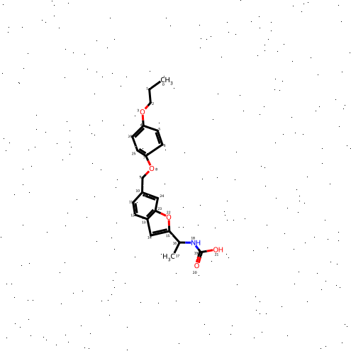 CCCOc1ccc(OCc2ccc3cc(C(C)NC(=O)O)oc3c2)cc1